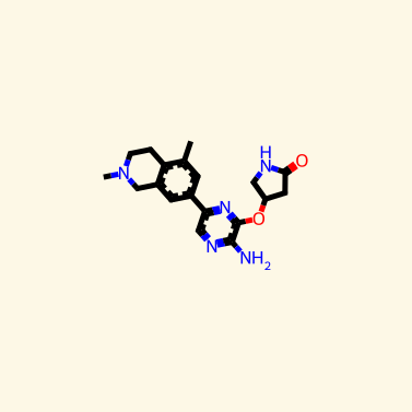 Cc1cc(-c2cnc(N)c(OC3CNC(=O)C3)n2)cc2c1CCN(C)C2